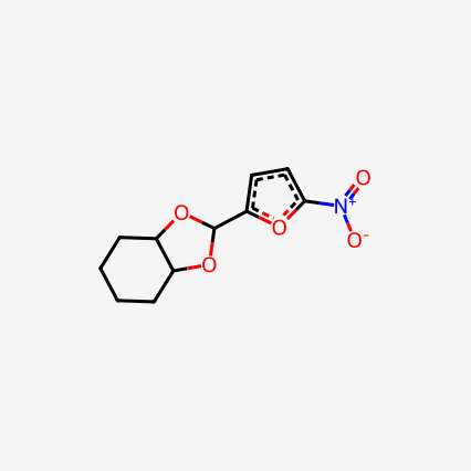 O=[N+]([O-])c1ccc(C2OC3CCCCC3O2)o1